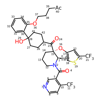 CCC[C@H]1N(C(=O)c2cnccc2C(F)(F)F)CCC[C@@]1(Oc1csc(C(F)(F)F)c1)C(=O)C1CCC(O)(c2ccccc2OCCCC(C)=O)CC1